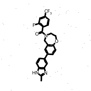 Cc1nc2cc(-c3ccc4c(c3)CN(C(=O)c3ccc(C(F)(F)F)cc3F)CCO4)ccc2[nH]1